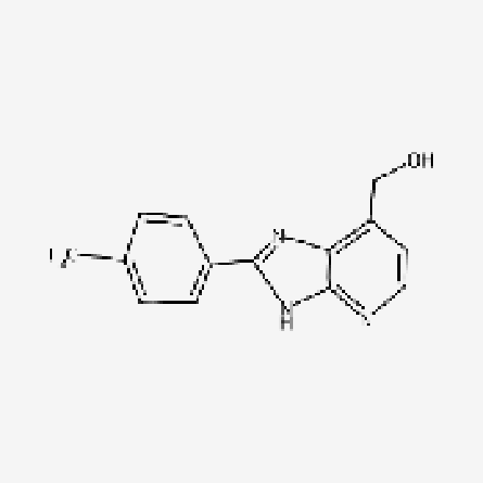 OCc1ccnc2[nH]c(-c3ccc(C(F)(F)F)cc3)nc12